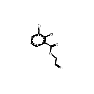 O=CCOC(=O)c1cccc(Cl)c1Cl